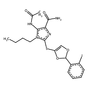 CCCCn1c(SC2=COC(c3ccccc3I)O2)nc(C(N)=O)c1NC(C)=O